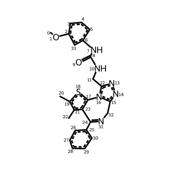 COc1cccc(NC(=O)NCc2nnc3n2-c2sc(C)c(C)c2C(c2ccccc2)=NC3)c1